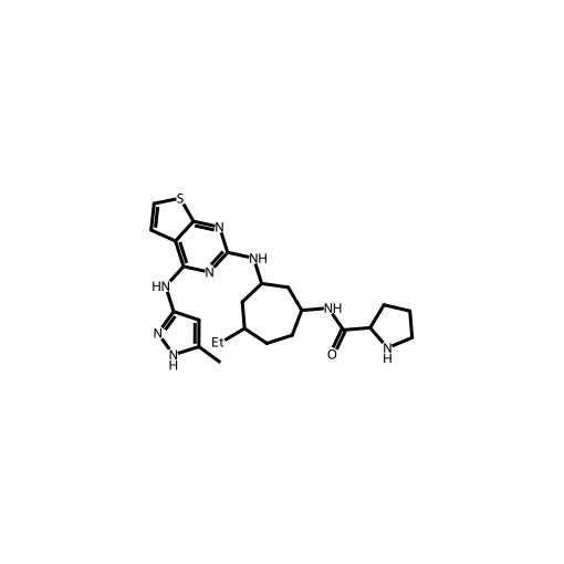 CCC1CCC(NC(=O)C2CCCN2)CC(Nc2nc(Nc3cc(C)[nH]n3)c3ccsc3n2)C1